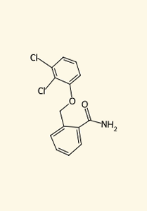 NC(=O)c1ccccc1COc1cccc(Cl)c1Cl